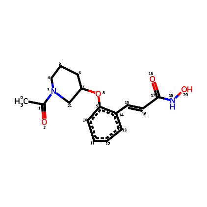 CC(=O)N1CCCC(Oc2ccccc2/C=C/C(=O)NO)C1